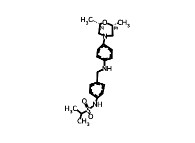 CC(C)S(=O)(=O)Nc1ccc(CNc2ccc(N3C[C@@H](C)O[C@@H](C)C3)cc2)cc1